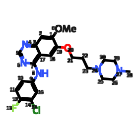 COc1cc2ncnc(Nc3ccc(F)c(Cl)c3)c2cc1OCCCN1CCN(C)CC1